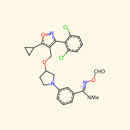 CN/C(=N\OC=O)c1cccc(N2CCC(OCc3c(-c4c(Cl)cccc4Cl)noc3C3CC3)C2)c1